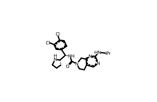 CC(C)Nc1ncc2c(n1)CN(C(=O)N[C@@H](c1ccc(Cl)c(Cl)c1)[C@@H]1CCCN1)CC2